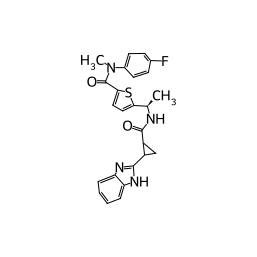 C[C@@H](NC(=O)C1CC1c1nc2ccccc2[nH]1)c1ccc(C(=O)N(C)c2ccc(F)cc2)s1